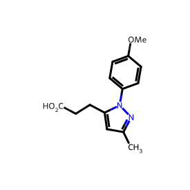 COc1ccc(-n2nc(C)cc2CCC(=O)O)cc1